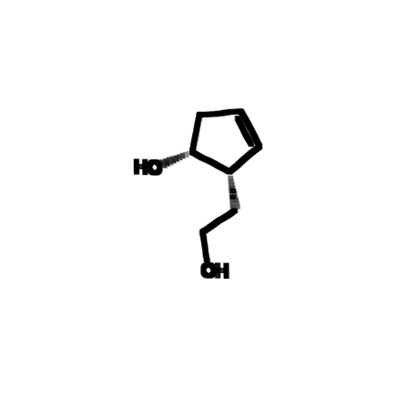 OCC[C@H]1C=CC[C@H]1O